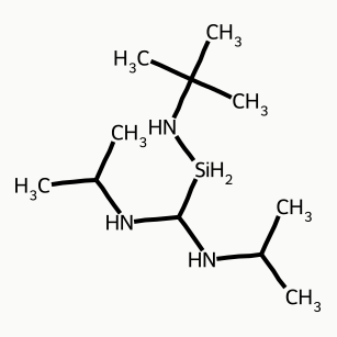 CC(C)NC(NC(C)C)[SiH2]NC(C)(C)C